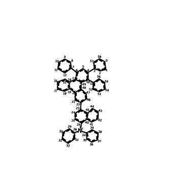 c1ccc(-c2cc(-c3ccccc3)c3c4ccccc4c4cc(-c5ccc(N(c6ccccc6)c6ccccc6)c6ccccc56)ccc4c3c2-c2ccccc2)cc1